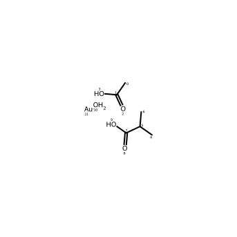 CC(=O)O.CC(C)C(=O)O.O.[Au]